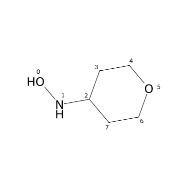 ONC1CCOCC1